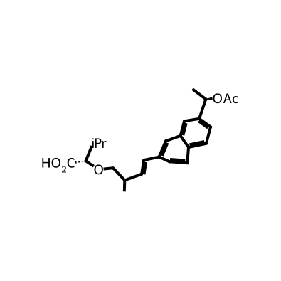 CC(=O)O[C@H](C)c1ccc2ccc(/C=C/C(C)CO[C@H](C(=O)O)C(C)C)cc2c1